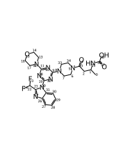 CC(CC(=O)N1CCN(c2nc(N3CCOCC3)nc(-n3c(C(F)F)nc4ccccc43)n2)CC1)NC(=O)O